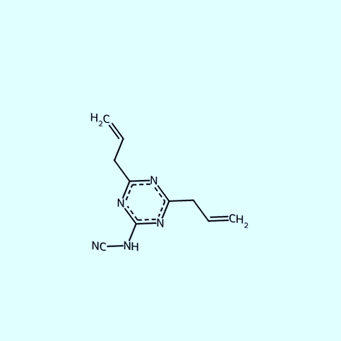 C=CCc1nc(CC=C)nc(NC#N)n1